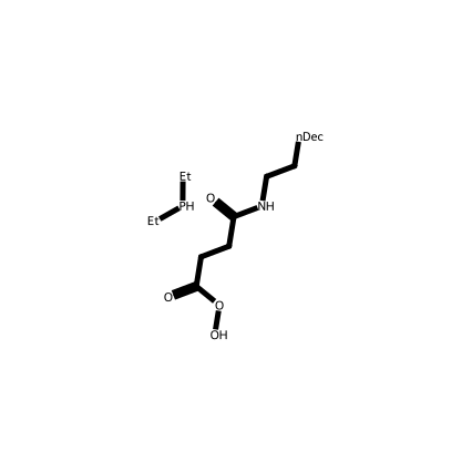 CCCCCCCCCCCCNC(=O)CCC(=O)OO.CCPCC